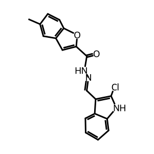 Cc1ccc2oc(C(=O)NN=Cc3c(Cl)[nH]c4ccccc34)cc2c1